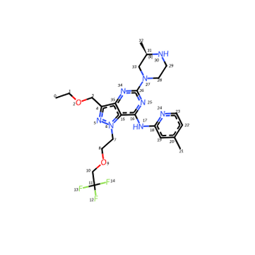 CCOCc1nn(CCOCC(F)(F)F)c2c(Nc3cc(C)ccn3)nc(N3CCN[C@H](C)C3)nc12